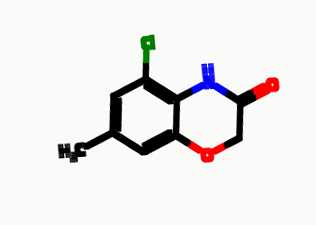 Cc1cc(Cl)c2c(c1)OCC(=O)N2